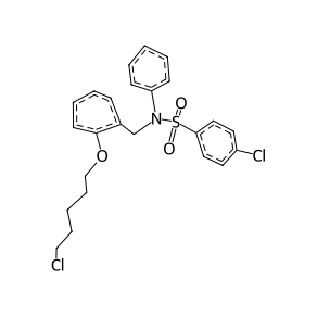 O=S(=O)(c1ccc(Cl)cc1)N(Cc1ccccc1OCCCCCCl)c1ccccc1